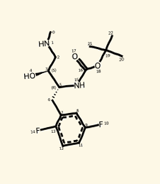 CNC[C@H](O)[C@@H](Cc1cc(F)ccc1F)NC(=O)OC(C)(C)C